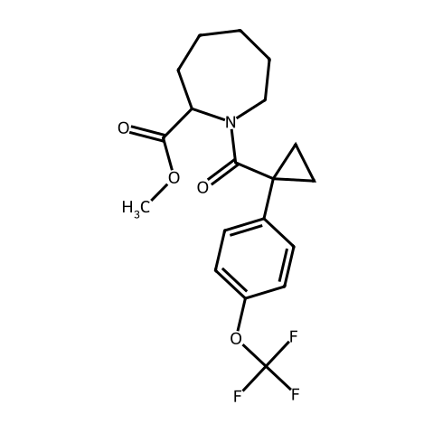 COC(=O)C1CCCCCN1C(=O)C1(c2ccc(OC(F)(F)F)cc2)CC1